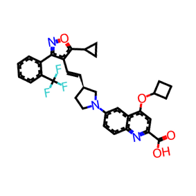 O=C(O)c1cc(OC2CCC2)c2cc(N3CC[C@@H](/C=C/c4c(-c5ccccc5C(F)(F)F)noc4C4CC4)C3)ccc2n1